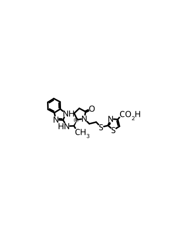 CC(Nc1nc2ccccc2[nH]1)[C@H]1CCC(=O)N1CCSc1nc(C(=O)O)cs1